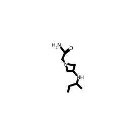 CCC(C)NC1CN(CC(N)=O)C1